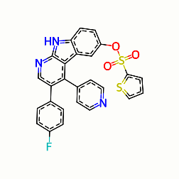 O=S(=O)(Oc1ccc2[nH]c3ncc(-c4ccc(F)cc4)c(-c4ccncc4)c3c2c1)c1cccs1